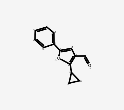 O=Cc1cc(-c2ccccc2)oc1C1CC1